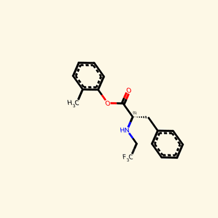 Cc1ccccc1OC(=O)[C@H](Cc1ccccc1)NCC(F)(F)F